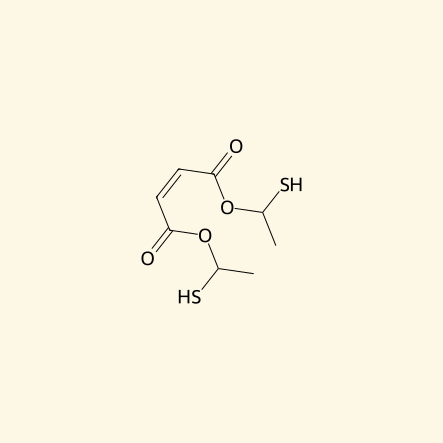 CC(S)OC(=O)/C=C\C(=O)OC(C)S